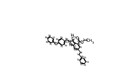 CCOC(=O)c1cc(CCc2ccccc2)nc2nn(Cc3ccc(Oc4ccccc4)cc3)c(C)c12